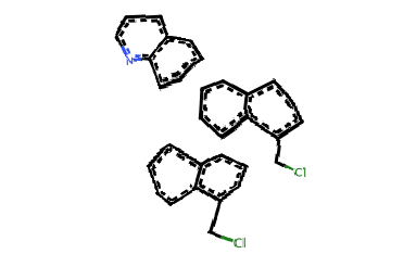 ClCc1cccc2ccccc12.ClCc1cccc2ccccc12.c1ccc2ncccc2c1